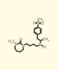 CCN(CCCCN1CCCCN(C)C1=O)C(C)Cc1ccc(S(C)(=O)=O)cc1